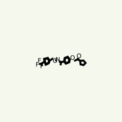 C/C(=N\OCc1ccc(C(F)(F)F)cc1)c1ccc(OCC(=O)C2CCCC2)cc1